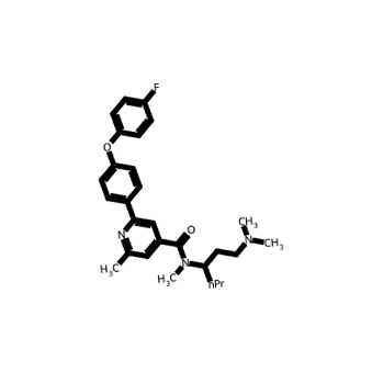 CCCC(CCN(C)C)N(C)C(=O)c1cc(C)nc(-c2ccc(Oc3ccc(F)cc3)cc2)c1